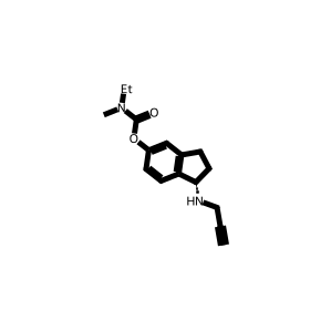 C#CCN[C@H]1CCc2cc(OC(=O)N(C)CC)ccc21